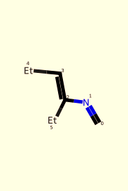 C=N/C(=C/CC)CC